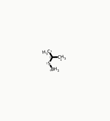 BSC(C)C